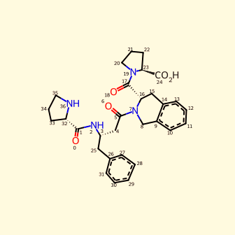 O=C(N[C@H](CC(=O)N1Cc2ccccc2C[C@H]1C(=O)N1CCC[C@H]1C(=O)O)Cc1ccccc1)[C@@H]1CCCN1